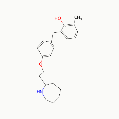 Cc1cccc(Cc2ccc(OCCC3CCCCCN3)cc2)c1O